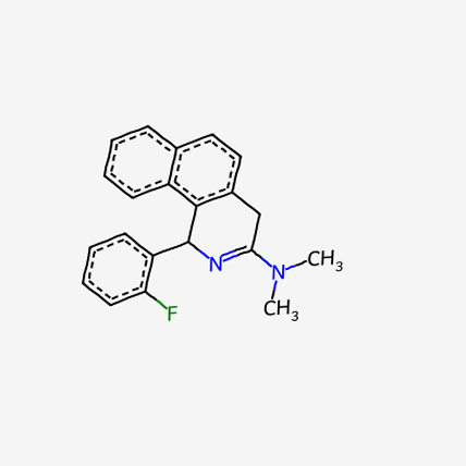 CN(C)C1=NC(c2ccccc2F)c2c(ccc3ccccc23)C1